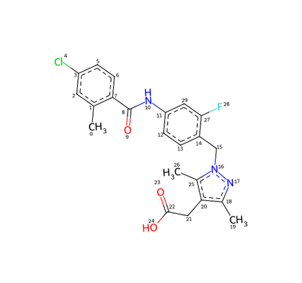 Cc1cc(Cl)ccc1C(=O)Nc1ccc(Cn2nc(C)c(CC(=O)O)c2C)c(F)c1